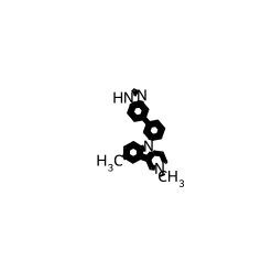 Cc1ccc2c(c1)c1c(n2-c2cccc(-c3ccc4[nH]cnc4c3)c2)CCN(C)C1